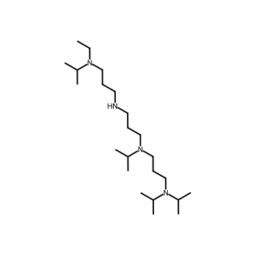 CCN(CCCNCCCN(CCCN(C(C)C)C(C)C)C(C)C)C(C)C